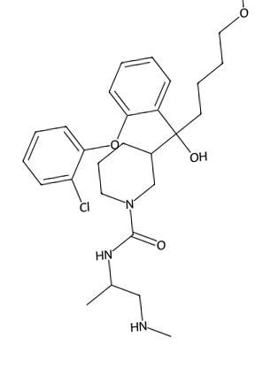 CNCC(C)NC(=O)N1CCCC(C(O)(CCCCOC)c2ccccc2Oc2ccccc2Cl)C1